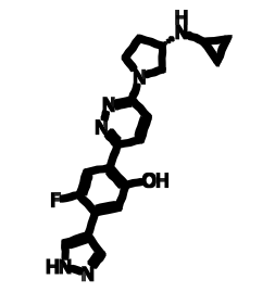 Oc1cc(-c2cn[nH]c2)c(F)cc1-c1ccc(N2CC[C@H](NC3CC3)C2)nn1